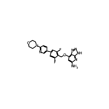 Nc1cc(OCc2c(F)cc(-c3ccc(N4CCOCC4)nc3)cc2F)c2nn[nH]c2n1